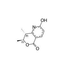 C[C@@H]1OC(=O)c2ccc(O)nc2[C@H]1C